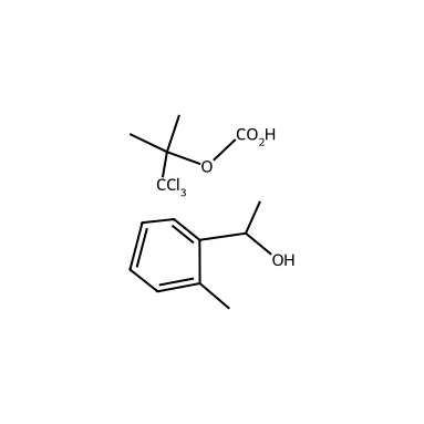 CC(C)(OC(=O)O)C(Cl)(Cl)Cl.Cc1ccccc1C(C)O